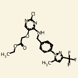 CCOC(=O)COc1cnc(Cl)nc1NCc1ccc(-n2nc(C(F)(F)F)cc2C)cc1